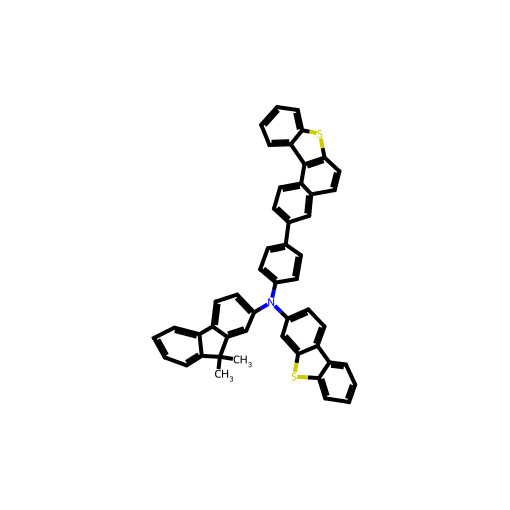 CC1(C)c2ccccc2-c2ccc(N(c3ccc(-c4ccc5c(ccc6sc7ccccc7c65)c4)cc3)c3ccc4c(c3)sc3ccccc34)cc21